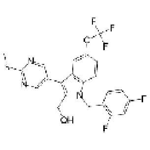 CSc1ncc(-c2c(CO)n(Cc3ccc(F)cc3F)c3ccc(OC(F)(F)F)cc23)cn1